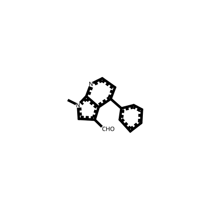 Cn1cc(C=O)c2c(-c3ccccc3)ccnc21